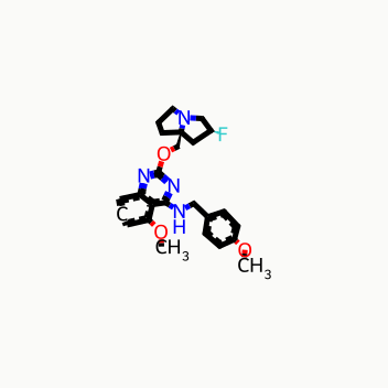 COc1ccc(CNc2nc(OC[C@@]34CCCN3C[C@H](F)C4)nc3cccc(OC)c23)cc1